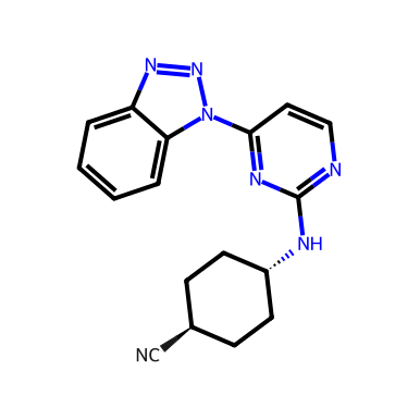 N#C[C@H]1CC[C@H](Nc2nccc(-n3nnc4ccccc43)n2)CC1